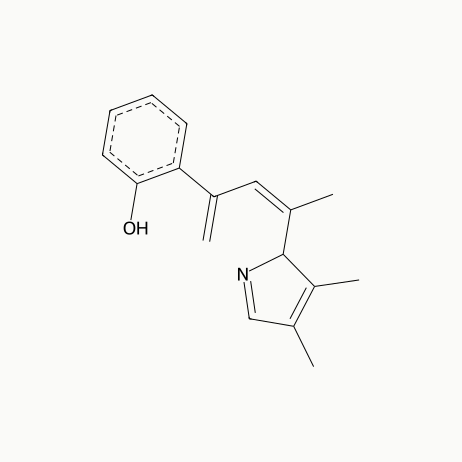 C=C(/C=C(/C)C1N=CC(C)=C1C)c1ccccc1O